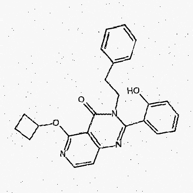 O=c1c2c(OC3CCC3)nccc2nc(-c2ccccc2O)n1CCc1ccccc1